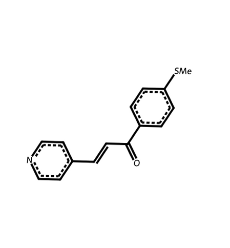 CSc1ccc(C(=O)/C=C/c2ccncc2)cc1